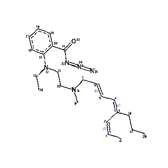 C\C=C/C(=C\C=C\CN(C)CCN(CC)c1ccccc1C(=O)N=[N+]=[N-])CCC